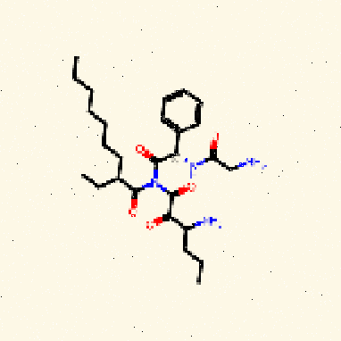 CCCCCCCC(CC)C(=O)N(C(=O)C(=O)C(N)CCC)C(=O)[C@@H](NC(=O)CN)c1ccccc1